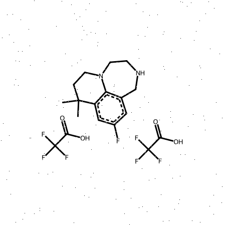 CC1(C)CCN2CCNCc3cc(F)cc1c32.O=C(O)C(F)(F)F.O=C(O)C(F)(F)F